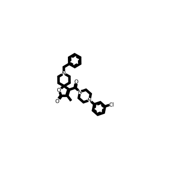 CC1=C(C(=O)N2CCN(c3cccc(Cl)c3)CC2)C2(CCN(Cc3ccccc3)CC2)OC1=O